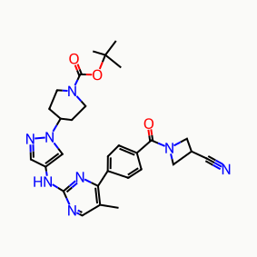 Cc1cnc(Nc2cnn(C3CCN(C(=O)OC(C)(C)C)CC3)c2)nc1-c1ccc(C(=O)N2CC(C#N)C2)cc1